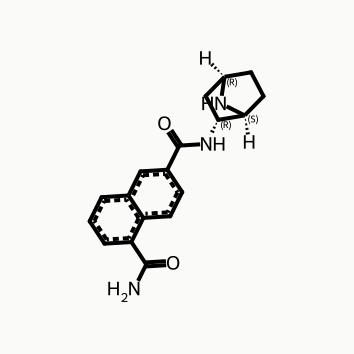 NC(=O)c1cccc2cc(C(=O)N[C@@H]3C[C@H]4CC[C@@H]3N4)ccc12